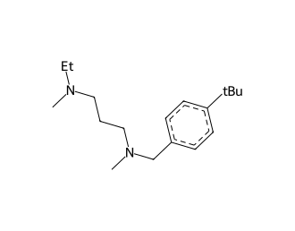 CCN(C)CCCN(C)Cc1ccc(C(C)(C)C)cc1